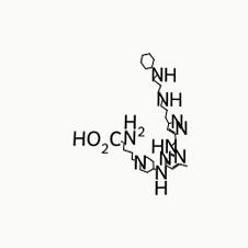 Cc1cc(NC2CCN(CCC[C@H](N)C(=O)O)CC2)nc(NCC2=CC(CCCNCCCNC3CCCCC3)N=N2)n1